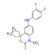 CCC1(CC)OC(=S)N(C)c2ccc(Nc3ccc(F)c(F)c3)cc21